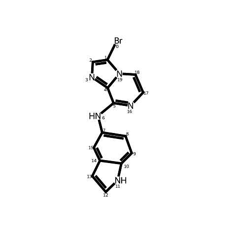 Brc1cnc2c(Nc3ccc4[nH]ccc4c3)nccn12